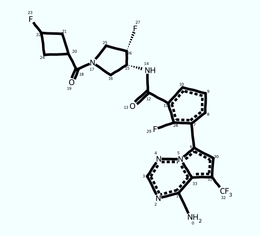 Nc1ncnn2c(-c3cccc(C(=O)N[C@@H]4CN(C(=O)C5CC(F)C5)C[C@@H]4F)c3F)cc(C(F)(F)F)c12